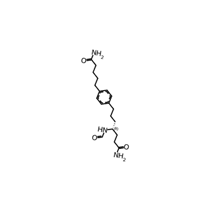 NC(=O)CCCCc1ccc(CCC[C@H](CCC(N)=O)NC=O)cc1